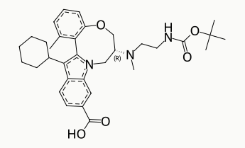 Cc1cccc2c1-c1c(C3CCCCC3)c3ccc(C(=O)O)cc3n1C[C@@H](N(C)CCNC(=O)OC(C)(C)C)CO2